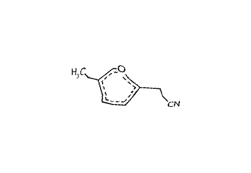 Cc1ccc(CC#N)o1